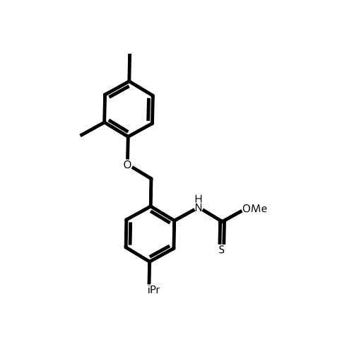 COC(=S)Nc1cc(C(C)C)ccc1COc1ccc(C)cc1C